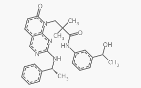 CC(O)c1cccc(NC(=O)C(C)(C)Cn2c(=O)ccc3cnc(N[C@@H](C)c4ccccc4)nc32)c1